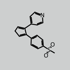 CS(=O)(=O)c1ccc(C2=CCC=C2c2ccncc2)cc1